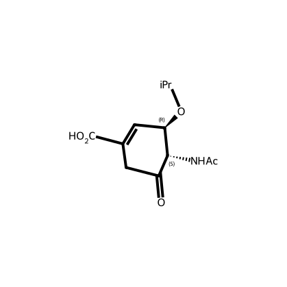 CC(=O)N[C@@H]1C(=O)CC(C(=O)O)=C[C@H]1OC(C)C